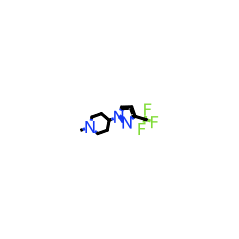 CN1CCC(n2ccc(C(F)(F)F)n2)CC1